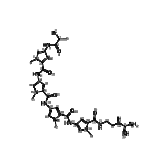 C=C(Br)C(=O)Nc1cn(C)c(C(=O)Nc2cc(C(=O)Nc3cc(C(=O)Nc4cc(C(=O)NCCNC(=N)N)n(C)c4)n(C)c3)n(C)c2)n1